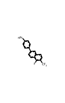 CCCc1ccc(-c2ccc3c(F)c(C(F)(F)F)ccc3c2)cc1